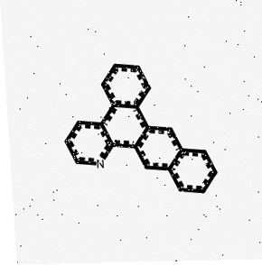 c1ccc2cc3c(cc2c1)c1ccccc1c1cccnc13